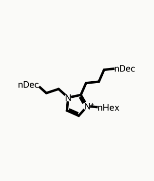 CCCCCCCCCCCCCc1n(CCCCCCCCCCCC)cc[n+]1CCCCCC